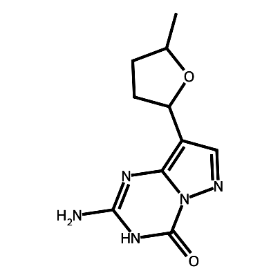 CC1CCC(c2cnn3c(=O)[nH]c(N)nc23)O1